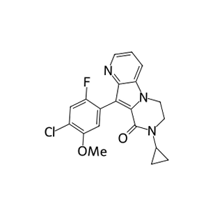 COc1cc(-c2c3n(c4cccnc24)CCN(C2CC2)C3=O)c(F)cc1Cl